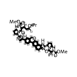 COC(=O)N[C@H](C(=O)N1[C@@H](C)CC[C@H]1c1nc2ccc3cc4c(cc3c2[nH]1)OCc1cc(-c2cnc([C@@H]3CC[C@H](C)N3C(=O)[C@H](NC(=O)OC)[C@@H](C)C[C@H](C)OC(C)C)[nH]2)ccc1-4)C(C)C